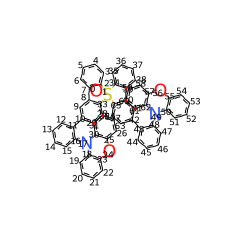 O=S12(c3ccccc3-c3cc(-c4ccccc4N4c5ccccc5Oc5ccccc54)ccc31)c1ccccc1-c1cc(-c3ccccc3N3c4ccccc4Oc4ccccc43)ccc12